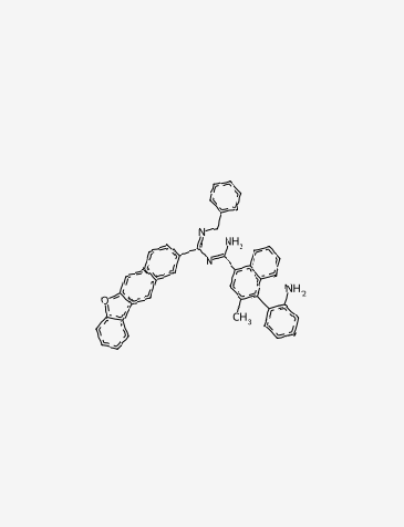 Cc1cc(/C(N)=N/C(=N\Cc2ccccc2)c2ccc3cc4oc5ccccc5c4cc3c2)c2ccccc2c1-c1ccccc1N